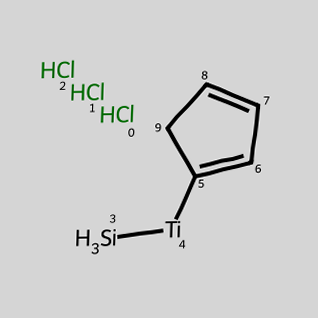 Cl.Cl.Cl.[SiH3][Ti][C]1=CC=CC1